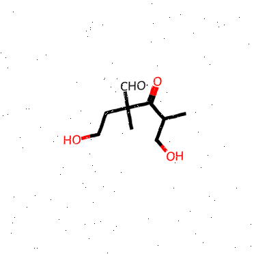 CC(CO)C(=O)C(C)([C]=O)CCO